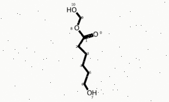 O=C(CCCCCO)OCO